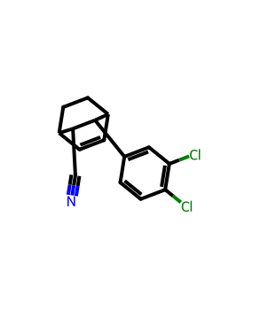 N#CC1C2C=CC(CC2)C1c1ccc(Cl)c(Cl)c1